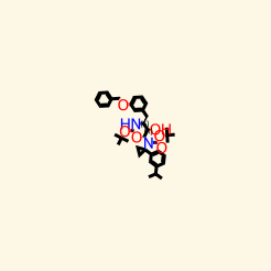 CC(C)c1cccc(C2(N(C[C@@H](O)[C@H](Cc3cccc(OCc4ccccc4)c3)NC(=O)OC(C)(C)C)C(=O)OC(C)(C)C)CC2)c1